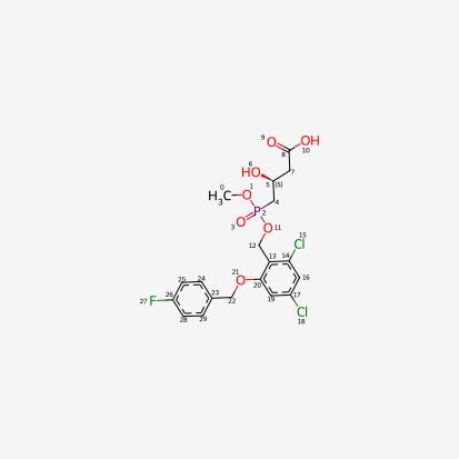 COP(=O)(C[C@@H](O)CC(=O)O)OCc1c(Cl)cc(Cl)cc1OCc1ccc(F)cc1